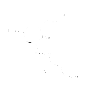 CSCC[C@H](N)C(=O)N[C@@H](CC(N)=O)C(=O)N[C@@H](CO)C(=O)O